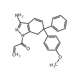 C=CC(=O)n1nc(N)c2c1CC(c1ccccc1)(c1ccc(OC)cc1)C=C2